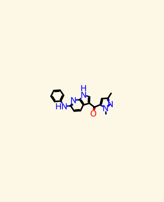 Cc1cc(C(=O)c2c[nH]c3nc(Nc4ccccc4)ccc23)n(C)n1